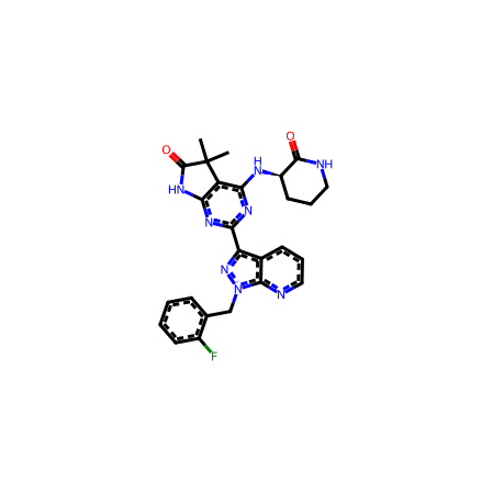 CC1(C)C(=O)Nc2nc(-c3nn(Cc4ccccc4F)c4ncccc34)nc(N[C@@H]3CCCNC3=O)c21